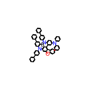 c1ccc(-c2ccc(N3B4c5cc(-c6ccccc6)ccc5N(c5ccc(-c6ccccc6)cc5)c5cc6oc7ccccc7c6c(c54)-c4cc(N(c5ccccc5)c5ccccc5)ccc43)cc2)cc1